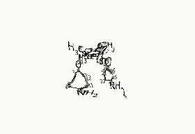 C[Si](C)(CCOc1ccc(N)cc1)O[Si](C)(C)CCOc1ccc(N)cc1